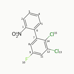 O=[N+]([O-])c1ccccc1-c1cc(F)cc(Cl)c1Cl